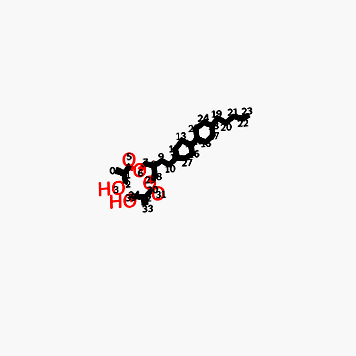 C=C(CO)C(=O)OCC(CCC1CCC(C2CCC(CCCCC)CC2)CC1)COC(=O)C(=C)CO